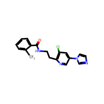 O=C(NCCc1ncc(-n2ccnc2)cc1Cl)c1ccccc1C(F)(F)F